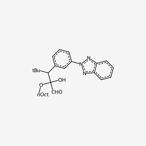 CCCCCCCCOC(O)(C=O)C(c1cccc(-n2nc3ccccc3n2)c1)C(C)(C)C